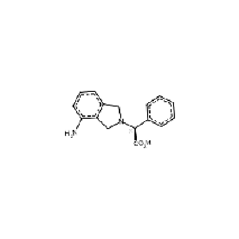 Nc1cccc2c1CN([C@H](C(=O)O)c1ccccc1)C2